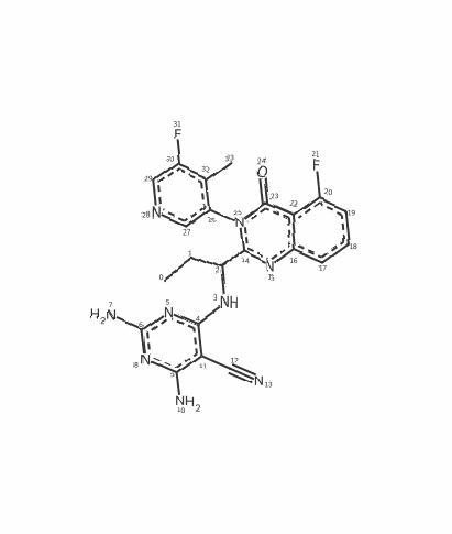 CCC(Nc1nc(N)nc(N)c1C#N)c1nc2cccc(F)c2c(=O)n1-c1cncc(F)c1C